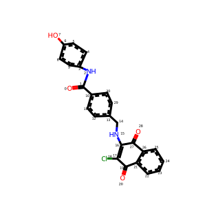 O=C(Nc1ccc(O)cc1)c1ccc(CNC2=C(Cl)C(=O)c3ccccc3C2=O)cc1